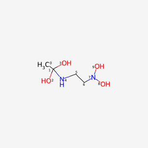 CC(O)(O)NCCN(O)O